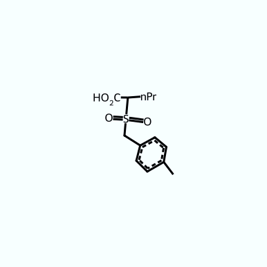 CCCC(C(=O)O)S(=O)(=O)Cc1ccc(C)cc1